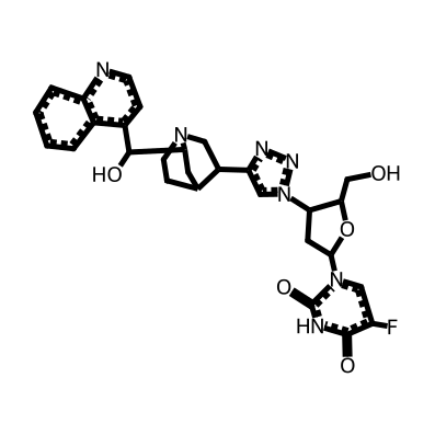 O=c1[nH]c(=O)n(C2CC(n3cc(C4CN5CCC4CC5C(O)c4ccnc5ccccc45)nn3)C(CO)O2)cc1F